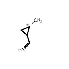 C[C@H]1CC1C=N